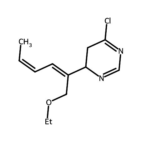 C/C=C\C=C(/COCC)C1CC(Cl)=NC=N1